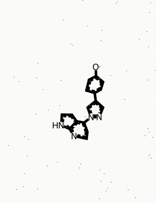 [O]c1ccc(-c2cnn(-c3ccnc4[nH]ccc34)c2)cc1